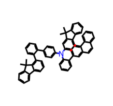 CC1(C)c2ccccc2-c2ccc(N(c3ccc(-c4ccccc4-c4cccc5c4C(C)(C)c4ccccc4-5)cc3)c3ccccc3-c3ccc4c(ccc5ccccc54)c3)cc21